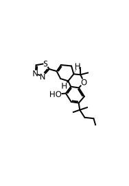 CCCC(C)(C)c1cc(O)c2c(c1)OC(C)(C)[C@@H]1CC=C(c3nncs3)C[C@@H]21